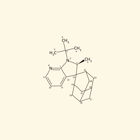 C[C@@H]1N(C(C)(C)C)c2ncccc2C12C1CC3CC(C1)CC2C3